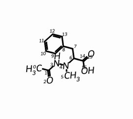 CC(=O)NN(C)C(Cc1ccccc1)C(=O)O